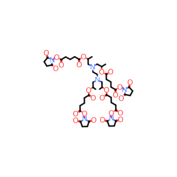 CC(CN(CCN(CC(C)OC(=O)CCCC(=O)ON1C(=O)CCC1=O)CC(C)OC(=O)CCCC(=O)ON1C(=O)CCC1=O)CC(C)OC(=O)CCCC(=O)ON1C(=O)CCC1=O)OC(=O)CCCC(=O)ON1C(=O)CCC1=O